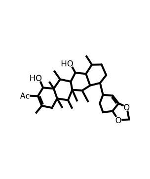 CC(=O)C1=C(C)CC2(C)C(C)C3(C)C(C)C4C(C5C=C6OCOC6CC5)CCC(C)C4C(O)C3C(C)C2(C)C1O